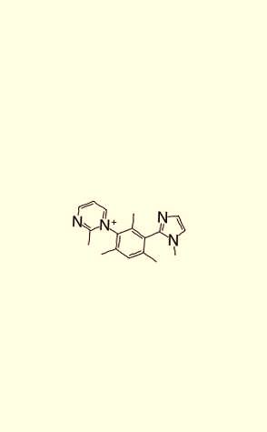 Cc1cc(C)c(-[n+]2cccnc2C)c(C)c1-c1nccn1C